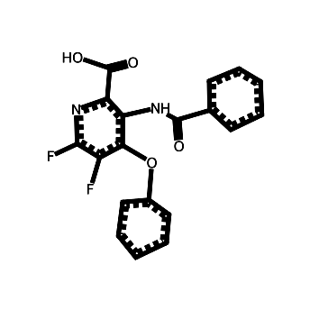 O=C(Nc1c(C(=O)O)nc(F)c(F)c1Oc1ccccc1)c1ccccc1